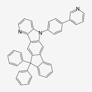 c1ccc(C2(c3ccccc3)c3ccccc3-c3cc4c(cc32)c2ncccc2n4-c2ccc(-c3cccnc3)cc2)cc1